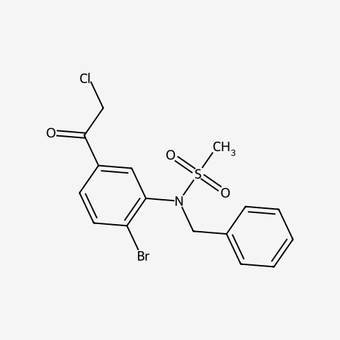 CS(=O)(=O)N(Cc1ccccc1)c1cc(C(=O)CCl)ccc1Br